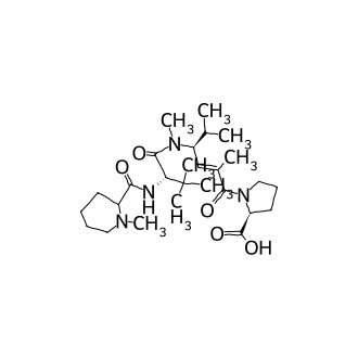 C/C(=C\[C@H](C(C)C)N(C)C(=O)[C@@H](NC(=O)C1CCCCN1C)C(C)(C)C)C(=O)N1CCC[C@H]1C(=O)O